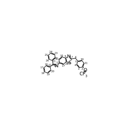 FC(F)(F)Oc1ccc(Cc2nc3ccc(N=C(c4ccccc4)c4ccccc4)cc3s2)cc1